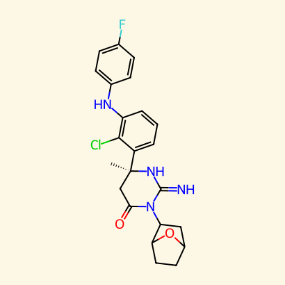 C[C@@]1(c2cccc(Nc3ccc(F)cc3)c2Cl)CC(=O)N(C2CC3CCC2O3)C(=N)N1